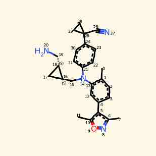 Cc1ccc(-c2c(C)noc2C)cc1N(C[C@H]1C[C@@H]1CN)c1ccc(C2(C#N)CC2)cc1